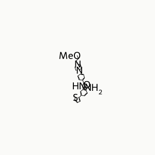 COCCN1CCN(c2ccc(C(=O)Nc3cc(-c4cccs4)ccc3N)cc2)CC1